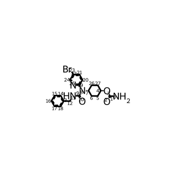 NC(=O)O[C@H]1CC[C@H](N(C(=O)NCc2ccccc2)c2ccc(Br)cn2)CC1